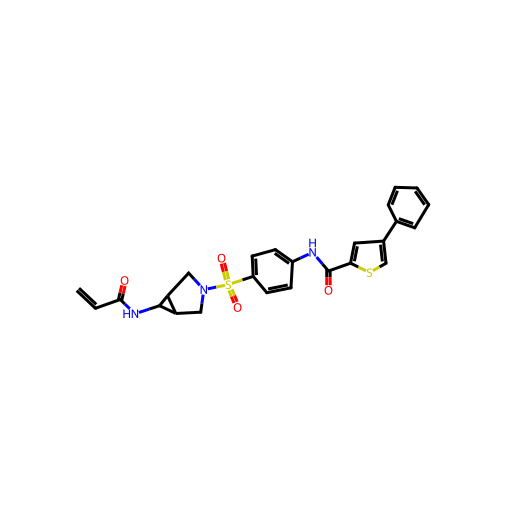 C=CC(=O)NC1C2CN(S(=O)(=O)c3ccc(NC(=O)c4cc(-c5ccccc5)cs4)cc3)CC21